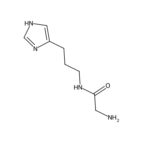 NCC(=O)NCCCc1c[nH]cn1